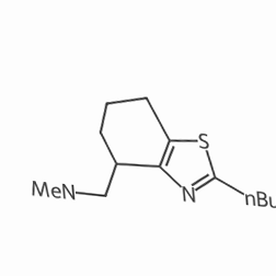 CCCCc1nc2c(s1)CCCC2CNC